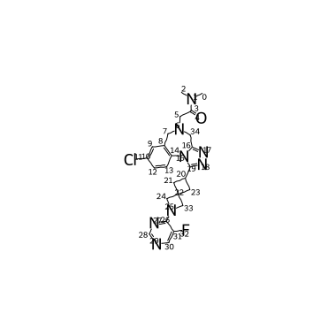 CN(C)C(=O)CN1Cc2cc(Cl)ccc2-n2c(nnc2C2CC3(C2)CN(c2ncncc2F)C3)C1